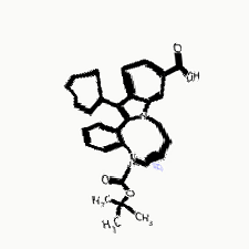 CC(C)(C)OC(=O)N1/C=C\CCn2c(c(C3CCCCC3)c3ccc(C(=O)O)cc32)-c2ccccc21